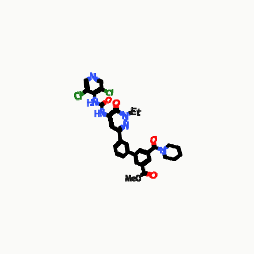 CCn1nc(-c2cccc(-c3cc(C(=O)OC)cc(C(=O)N4CCCCC4)c3)c2)cc(NC(=O)Nc2c(Cl)cncc2Cl)c1=O